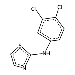 Clc1ccc(Nc2nccs2)cc1Cl